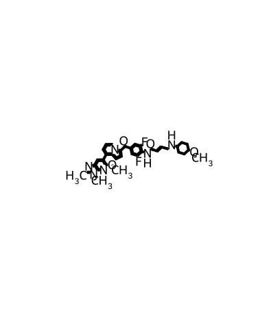 COc1nc2c(cc1-c1cccn3c(C(=O)c4cc(F)c(NC(=O)/C=C/CNC5CCC(OC)CC5)c(F)c4)ccc13)nc(C)n2C